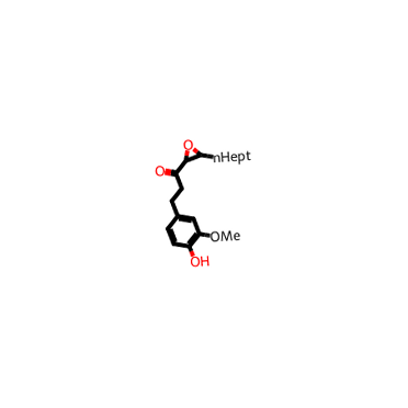 CCCCCCCC1OC1C(=O)CCc1ccc(O)c(OC)c1